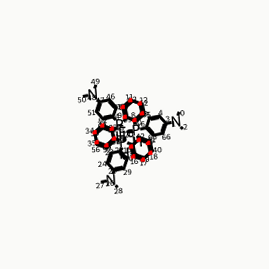 CN(C)c1ccc([PH](C2CCCCC2)(C2CCCCC2)[Fe]([PH](c2ccc(N(C)C)cc2)(C2CCCCC2)C2CCCCC2)[PH](c2ccc(N(C)C)cc2)(C2CCCCC2)C2CCCCC2)cc1